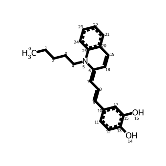 CCCCCN1/C(=C/C=C/c2ccc(O)c(O)c2)C=Cc2ccccc21